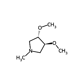 CO[C@H]1CN(C)C[C@@H]1OC